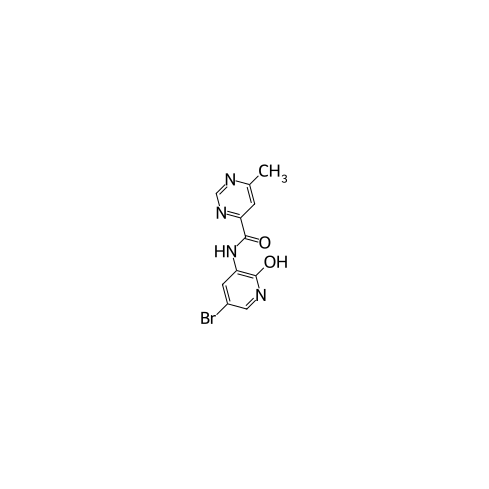 Cc1cc(C(=O)Nc2cc(Br)cnc2O)ncn1